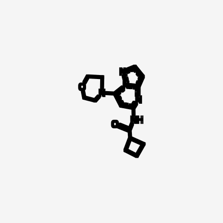 O=C(Nc1cc(N2CCOCC2)n2nccc2n1)C1CCC1